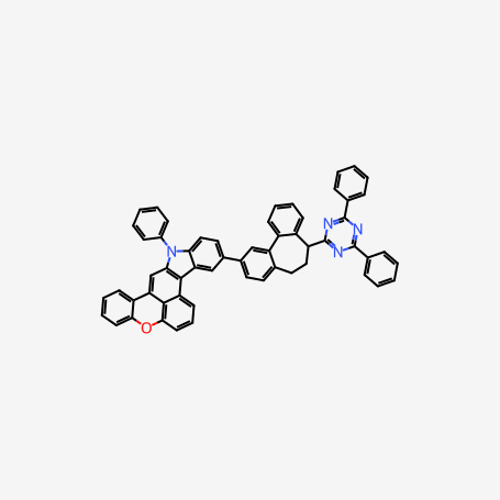 c1ccc(-c2nc(-c3ccccc3)nc(C3CCc4ccc(-c5ccc6c(c5)c5c7cccc8c7c(cc5n6-c5ccccc5)-c5ccccc5O8)cc4-c4ccccc43)n2)cc1